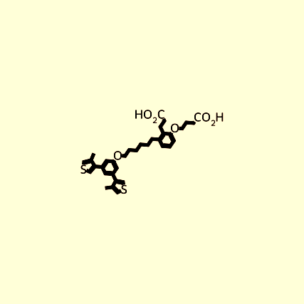 Cc1cscc1-c1cc(OCCCCCCc2cccc(OCCCC(=O)O)c2CCC(=O)O)cc(-c2cscc2C)c1